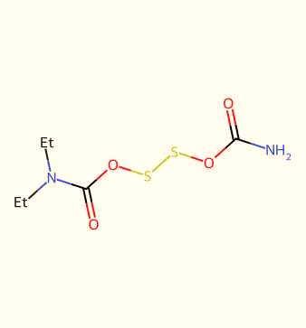 CCN(CC)C(=O)OSSOC(N)=O